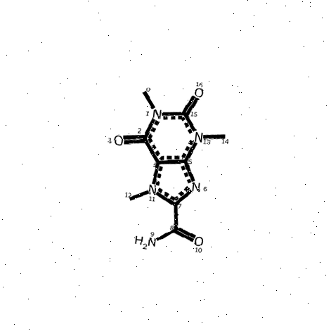 Cn1c(=O)c2c(nc(C(N)=O)n2C)n(C)c1=O